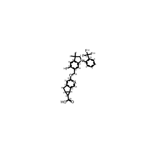 CC1(C)CN(c2ccccc2C(F)(F)F)c2cc(COc3cc4c(cn3)C3C(C4)C3C(=O)O)c(F)cc21